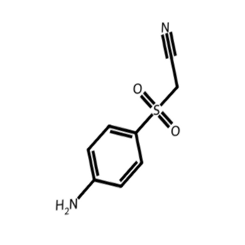 N#CCS(=O)(=O)c1ccc(N)cc1